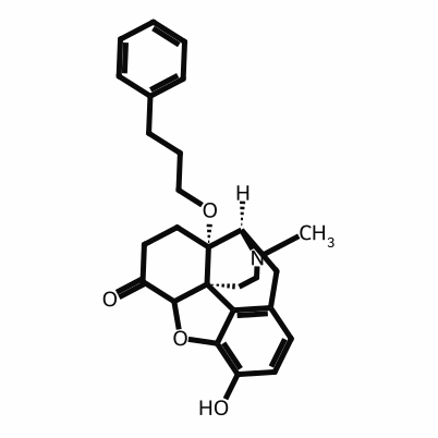 CN1CC[C@]23c4c5ccc(O)c4OC2C(=O)CC[C@@]3(OCCCc2ccccc2)[C@H]1C5